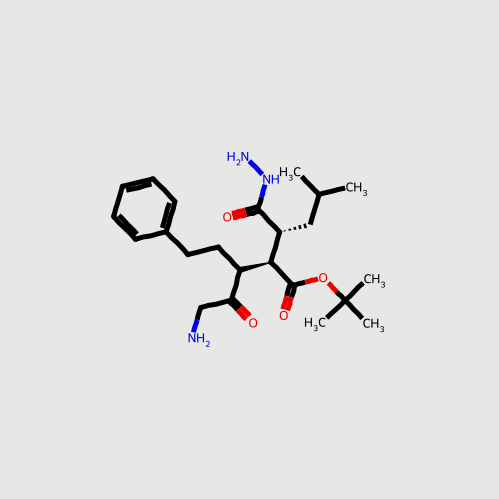 CC(C)C[C@@H](C(=O)NN)[C@@H](C(=O)OC(C)(C)C)C(CCc1ccccc1)C(=O)CN